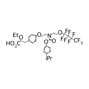 CCOC(Cc1ccc(OCCN(CCOC(F)(F)C(F)(F)C(F)(F)C(F)(F)F)C(=O)Oc2ccc(C(C)C)cc2)cc1)C(=O)O